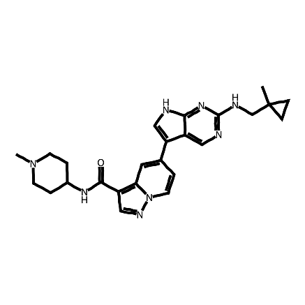 CN1CCC(NC(=O)c2cnn3ccc(-c4c[nH]c5nc(NCC6(C)CC6)ncc45)cc23)CC1